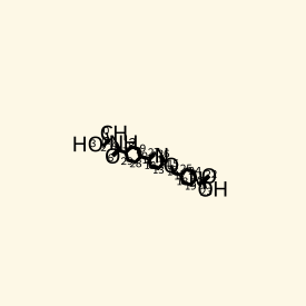 C[C@H](CO)NC(=O)C1CC=C(c2ccc(OCC3CCN(C(=O)O)CC3)nc2)CC1